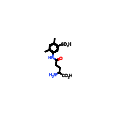 Cc1cc(C)c(S(=O)(=O)O)cc1NC(=O)CCC(N)C(=O)O